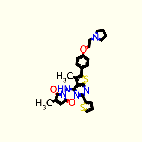 CC1=CC(=O)N(Nc2nc(-c3cccs3)nc3sc(-c4ccc(OCCN5CCCC5)cc4)c(C)c23)C1=O